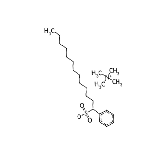 CCCCCCCCCCCCC(c1ccccc1)S(=O)(=O)[O-].C[N+](C)(C)C